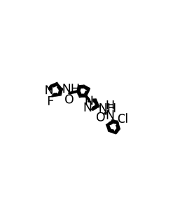 O=C(Nc1cnn(-c2cccc(C(=O)Nc3ccnc(F)c3)c2)c1)Nc1ccccc1Cl